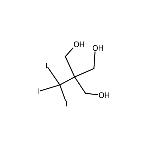 OCC(CO)(CO)C(I)(I)I